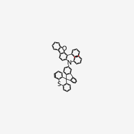 c1ccc2c(c#1)Sc1ccccc1C21c2ccccc2-c2cc(N(c3ccccc3)c3ccc4c(oc5ccccc54)c3-c3ccccc3)ccc21